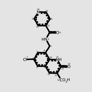 O=C(NCc1cc(Cl)cc2cc(C(=O)O)c(=O)[nH]c12)c1ccncc1